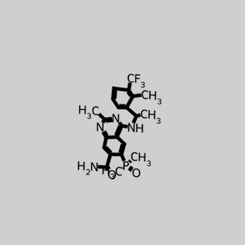 Cc1nc(NC(C)c2cccc(C(F)(F)F)c2C)c2cc(P(C)(C)=O)c(C(N)=O)cc2n1